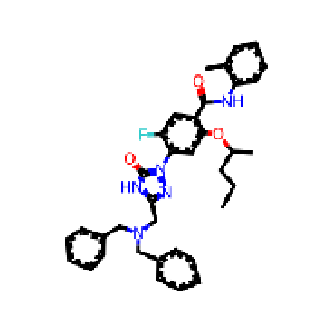 CCCC(C)Oc1cc(-n2nc(CN(Cc3ccccc3)Cc3ccccc3)[nH]c2=O)c(F)cc1C(=O)Nc1ccccc1C